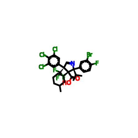 CC1CCCC([C@]2(C(=O)O)[C@](c3ccc(F)c(Br)c3)(C(C)C)N=C[C@@]2(c2cc(Cl)c(Cl)c(Cl)c2)C(F)(F)F)C1